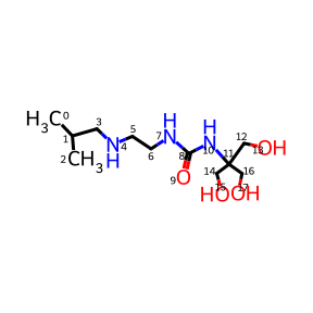 CC(C)CNCCNC(=O)NC(CO)(CO)CO